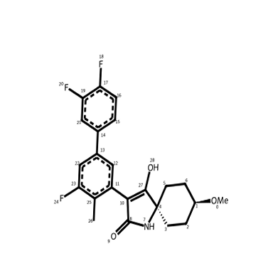 CO[C@H]1CC[C@]2(CC1)NC(=O)C(c1cc(-c3ccc(F)c(F)c3)cc(F)c1C)=C2O